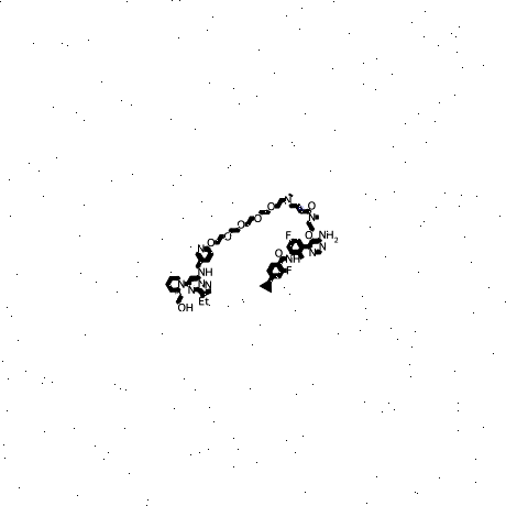 CCc1cnn2c(NCc3ccc(OCCOCCOCCOCCOCCN(C)C/C=C/C(=O)N(C)CCOc4c(N)ncnc4-c4cc(F)cc(NC(=O)c5ccc(C6CC6)cc5F)c4C)nc3)cc(N3CCCC[C@H]3CCO)nc12